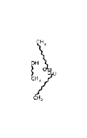 CCCCCCCCCCCC(=O)OOC(=O)CCCCCCCCCCC.CCCCCCO